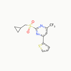 O=S(=O)(CC1CC1)c1nc(-c2cccs2)cc(C(F)(F)F)n1